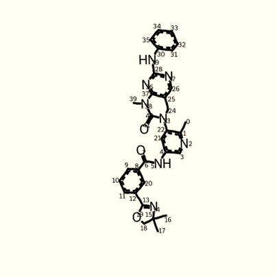 Cc1ncc(NC(=O)c2cccc(C3=NC(C)(C)CO3)c2)cc1N1Cc2cnc(Nc3ccccc3)nc2N(C)C1=O